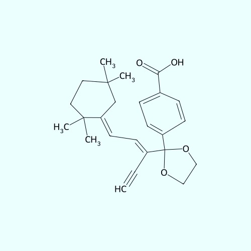 C#C/C(=C\C=C1/CC(C)(C)CCC1(C)C)C1(c2ccc(C(=O)O)cc2)OCCO1